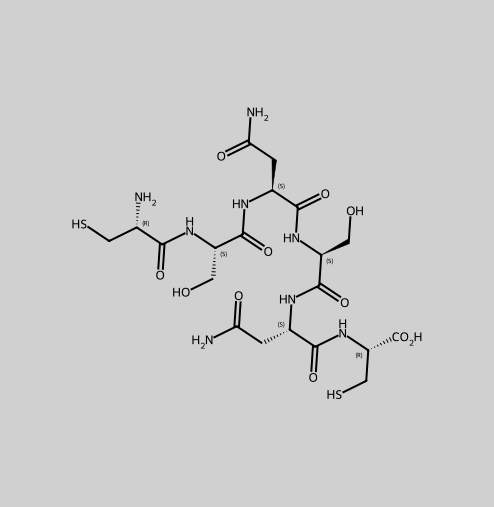 NC(=O)C[C@H](NC(=O)[C@H](CO)NC(=O)[C@H](CC(N)=O)NC(=O)[C@H](CO)NC(=O)[C@@H](N)CS)C(=O)N[C@@H](CS)C(=O)O